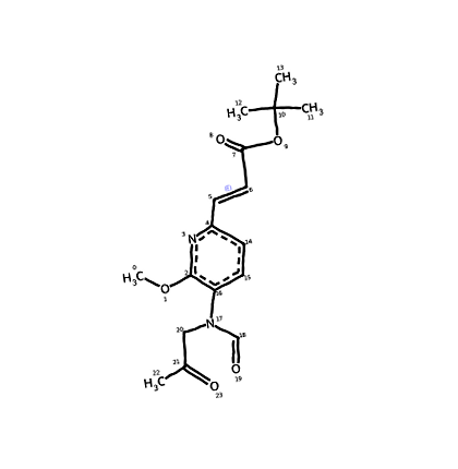 COc1nc(/C=C/C(=O)OC(C)(C)C)ccc1N(C=O)CC(C)=O